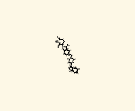 O=C1CCC(N2Cc3ccc(CN4CCC(c5noc6cc(F)ccc56)CC4)cc3C2=O)C(=O)N1